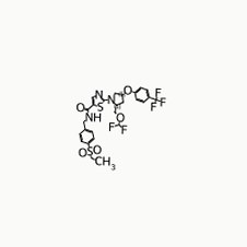 CCS(=O)(=O)c1ccc(CNC(=O)c2cnc(N3C[C@@H](Oc4ccc(C(F)(F)F)cc4)C[C@H]3COC(F)F)s2)cc1